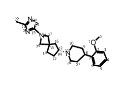 COc1ccccc1C1CCN([C@@H]2CCC3(C2)CN(c2nc(C)ns2)C3)CC1